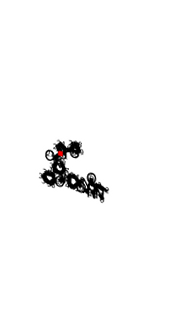 Cn1ccc2c(=O)n(CC3(O)CCN(C(=O)[C@@H]4CCN(C(=O)c5ccc(-c6ccco6)s5)C[C@H]4c4ccccc4)CC3)cnc21